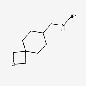 CC(C)NCC1CCC2(CC1)COC2